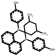 CC1CC(C)CC2(C1)N(c1ccc(O)cc1)c1cccc3cccc(c13)N2c1ccc(O)cc1